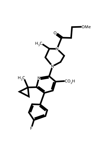 COCCC(=O)N1CCN(c2nc(C3(C)CC3)c(-c3ccc(F)cc3)cc2C(=O)O)CC1C